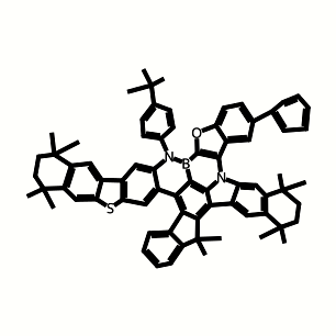 CC(C)(C)c1ccc(N2B3c4oc5ccc(-c6ccccc6)cc5c4-n4c5cc6c(cc5c5c7c(c(c3c54)-c3cc4sc5cc8c(cc5c4cc32)C(C)(C)CCC8(C)C)-c2ccccc2C7(C)C)C(C)(C)CCC6(C)C)cc1